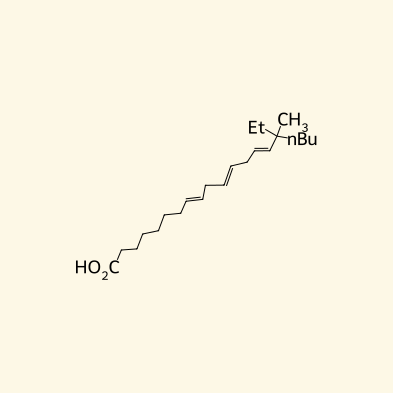 CCCCC(C)(C=CCC=CCC=CCCCCCCC(=O)O)CC